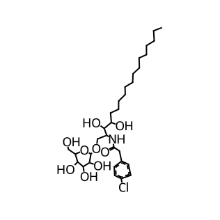 CCCCCCCCCCCCCCC(O)C(O)C(COC1OC(CO)C(O)C(O)C1O)NC(=O)Cc1ccc(Cl)cc1